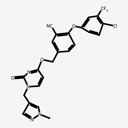 Cn1cc(Cn2ccc(OCc3ccc(Oc4ccc(Cl)c(C(F)(F)F)c4)c(C#N)c3)nc2=O)cn1